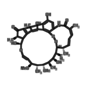 CO[C@H]1/C=C/O[C@@H](O)C2c3c(C)c(O)c4c5c(cc(O)c4c3C(=O)[C@@H]2C)NC(=O)/C(C)=C\C=C\[C@H](C)[C@H](OO5)[C@@H](C)[C@@H](O)[C@@H](C)[C@H](OC(C)=O)[C@@H]1C